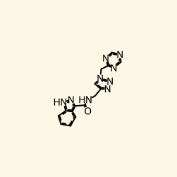 O=C(NCc1cn(Cc2ncncn2)nn1)c1n[nH]c2ccccc12